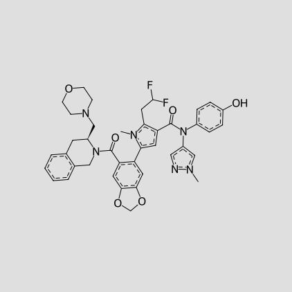 Cn1cc(N(C(=O)c2cc(-c3cc4c(cc3C(=O)N3Cc5ccccc5C[C@H]3CN3CCOCC3)OCO4)n(C)c2CC(F)F)c2ccc(O)cc2)cn1